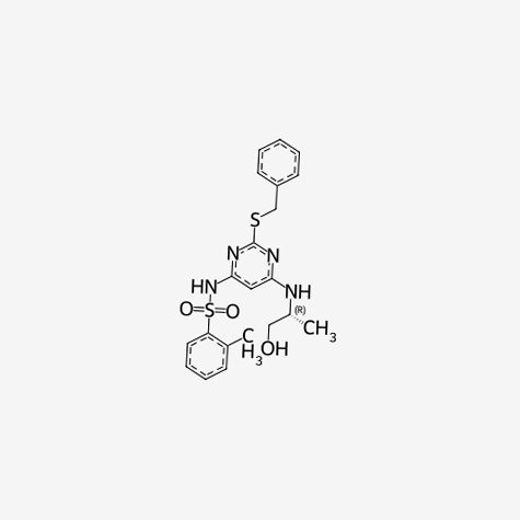 Cc1ccccc1S(=O)(=O)Nc1cc(N[C@H](C)CO)nc(SCc2ccccc2)n1